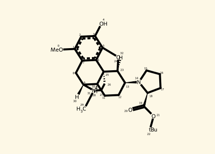 COc1cc(O)c2c3c1C[C@@H]1[C@@H]4CC[C@H](N5CCC[C@H]5C(=O)OC(C)(C)C)[C@H](O2)[C@]34CCN1C